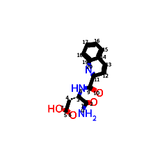 NC(=O)[C@H](CC(=O)O)NC(=O)c1ccc2ccccc2n1